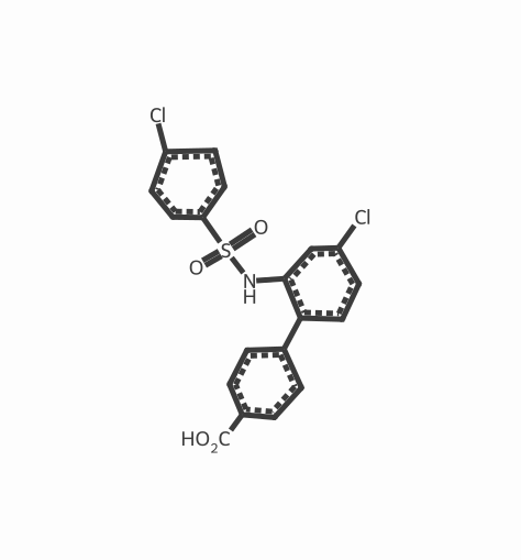 O=C(O)c1ccc(-c2ccc(Cl)cc2NS(=O)(=O)c2ccc(Cl)cc2)cc1